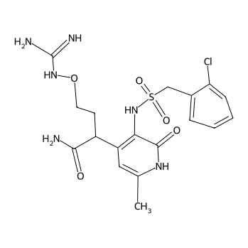 Cc1cc(C(CCONC(=N)N)C(N)=O)c(NS(=O)(=O)Cc2ccccc2Cl)c(=O)[nH]1